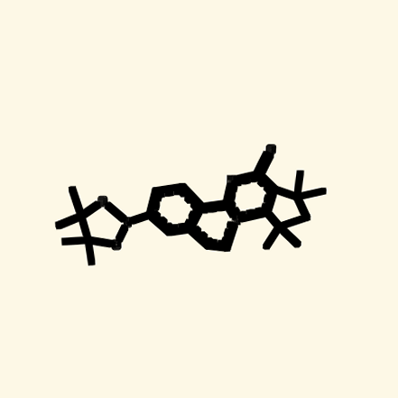 CC1(C)CC(C)(C)c2c1c(=O)nc1c3ccc(B4OC(C)(C)C(C)(C)O4)cc3ccn21